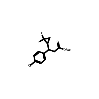 COC(=O)CC(c1ccc(Cl)cc1)C1CC1(F)F